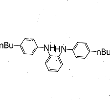 CCCCc1ccc(Nc2ccccc2Nc2ccc(CCCC)cc2)cc1